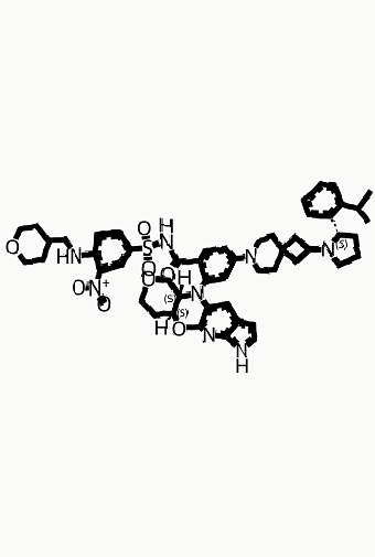 CC(C)c1ccccc1[C@@H]1CCCN1C1CC2(CCN(c3ccc(C(=O)NS(=O)(=O)c4ccc(NCC5CCOCC5)c([N+](=O)[O-])c4)c(N4c5cc6cc[nH]c6nc5O[C@H]5CCOC[C@@H]54)c3)CC2)C1